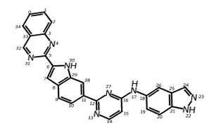 c1ccc2nc(-c3cc4ccc(-c5nccc(Nc6ccc7[nH]ncc7c6)n5)cc4[nH]3)ncc2c1